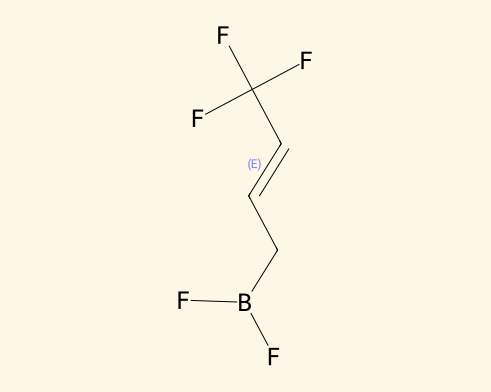 FB(F)C/C=C/C(F)(F)F